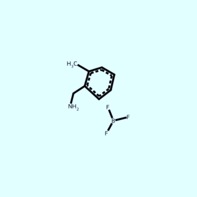 Cc1ccccc1CN.FB(F)F